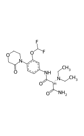 CCN(CC)[C@H](C(N)=O)C(=O)Nc1ccc(N2CCOCC2=O)c(OC(F)F)c1